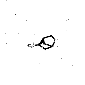 O=C(O)C1=C2COC(C2)C1